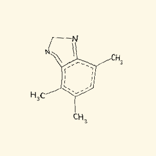 Cc1cc(C)c2c(c1C)=NCN=2